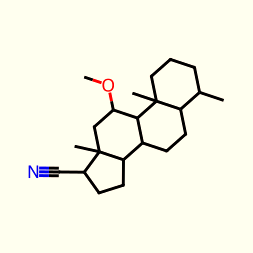 COC1CC2(C)C(C#N)CCC2C2CCC3C(C)CCCC3(C)C12